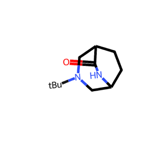 CC(C)(C)N1CC2CCC(C1)C(=O)N2